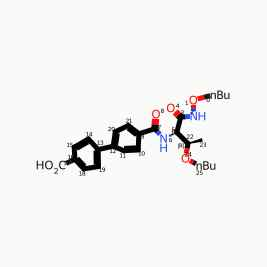 CCCCONC(=O)[C@@H](NC(=O)c1ccc(-c2ccc(C(=O)O)cc2)cc1)[C@@H](C)OCCCC